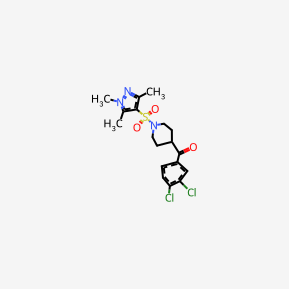 Cc1nn(C)c(C)c1S(=O)(=O)N1CCC(C(=O)c2ccc(Cl)c(Cl)c2)CC1